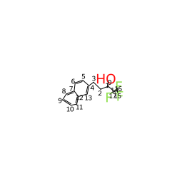 OC(CCc1ccc2ccccc2c1)C(F)(F)F